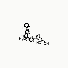 CC1(C)[C@H]2CC[C@@]1(c1ccnc(-n3cnc(CC(O)CO)n3)n1)c1nnc(-c3c(F)cccc3F)cc12